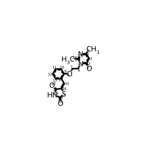 Cc1cc(=O)n(CCOc2ccccc2C=C2SC(=O)NC2=O)c(C)n1